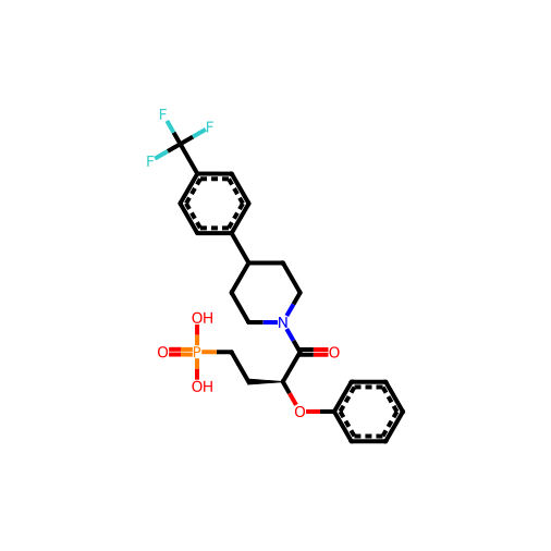 O=C([C@H](CCP(=O)(O)O)Oc1ccccc1)N1CCC(c2ccc(C(F)(F)F)cc2)CC1